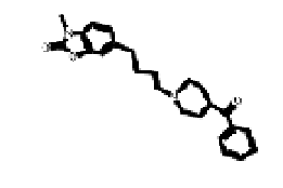 Cn1c(=O)oc2cc(CCCCN3CCC(C(=O)c4ccccc4)CC3)ccc21